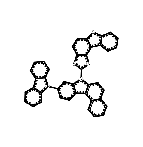 c1ccc2c(c1)ccc1c2c2ccc(-n3c4ccccc4c4ccccc43)cc2n1-c1nc2c(ccc3sc4ccccc4c32)s1